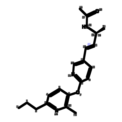 CCCc1ccc(Oc2ccc(/C=C/[C@H](C)NC(C)=O)cn2)c(C)n1